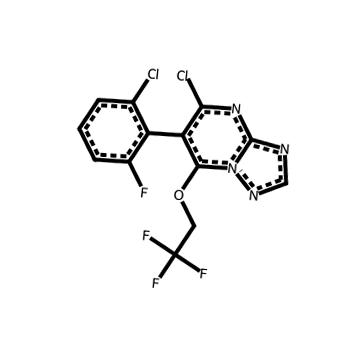 Fc1cccc(Cl)c1-c1c(Cl)nc2ncnn2c1OCC(F)(F)F